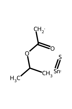 [CH2]C(=O)OC(C)C.[S]=[Sn]